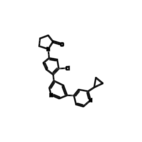 O=C1CCCN1c1ccc(-c2cncc(-c3ccnc(C4CC4)c3)c2)c(Cl)c1